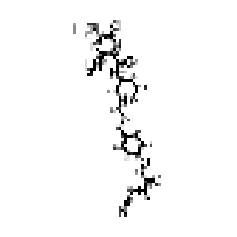 CN(CC#N)C(=O)COc1ccc(CCCN2CCCC(NC(=O)c3nc(Cl)c(N)nc3N)C2)cc1